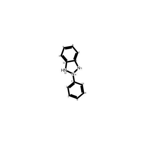 c1ccc(N2[N]c3ccccc3N2)cc1